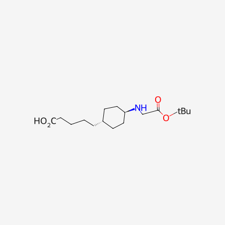 CC(C)(C)OC(=O)CN[C@H]1CC[C@H](CCCCC(=O)O)CC1